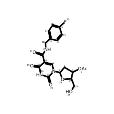 CC(=O)OC1CC(n2cc(C(=O)NCc3ccc(F)cc3)c(=O)[nH]c2=O)OC1CO